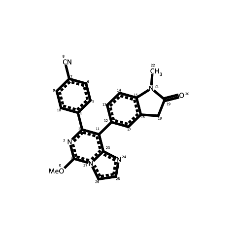 COc1nc(-c2ccc(C#N)cc2)c(-c2ccc3c(c2)CC(=O)N3C)c2nccn12